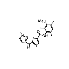 COc1c(C)cc(C)c(NC(=O)c2cnc(Nc3ccn(C)n3)s2)c1C